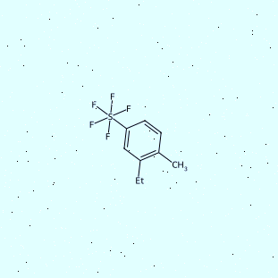 CCc1cc(S(F)(F)(F)(F)F)ccc1C